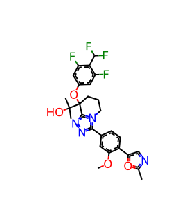 COc1cc(-c2nnc3n2CCCC3(Oc2cc(F)c(C(F)F)c(F)c2)C(C)(C)O)ccc1-c1cnc(C)o1